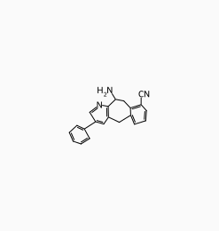 N#Cc1cccc2c1CC(N)c1ncc(-c3ccccc3)cc1C2